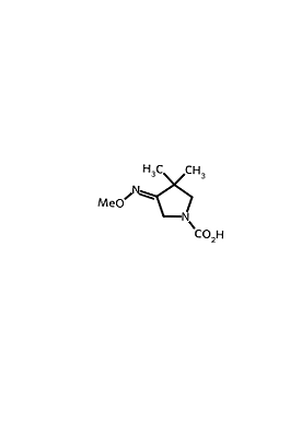 CO/N=C1\CN(C(=O)O)CC1(C)C